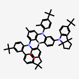 Cc1cc2c3c(c1)N(c1ccc(C(C)(C)C)cc1-c1ccccc1)c1cc4c(cc1B3c1ccc(N3c5ccc(C(C)(C)C)cc5C5(C)CCCC35C)cc1N2c1ccc(C(C)(C)C)cc1C)CC(C)(C)C4